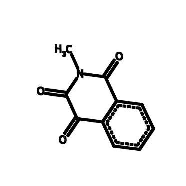 CN1C(=O)C(=O)c2ccccc2C1=O